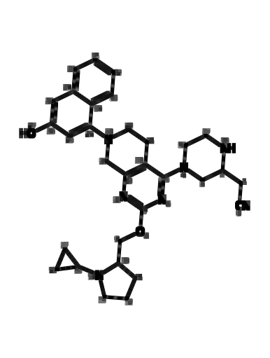 N#CCC1CN(c2nc(OCC3CCCN3C3CC3)nc3c2CCN(c2cc(O)cc4ccccc24)C3)CCN1